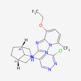 FC(F)(F)COc1ccc(C(F)(F)F)n2nc(NC3[C@@H]4CC[C@H]3CN(c3cnnc(Cl)c3)C4)nc12